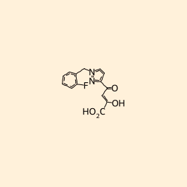 O=C(O)C(O)=CC(=O)c1ccn(Cc2ccccc2F)n1